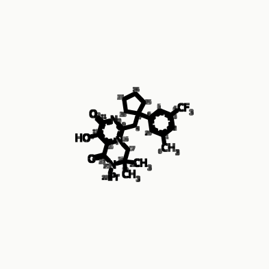 Cc1cc(C(F)(F)F)cc(C2(Cc3nc(=O)c(O)c4n3CC(C)(C)N(C(C)C)C4=O)CCCC2)c1